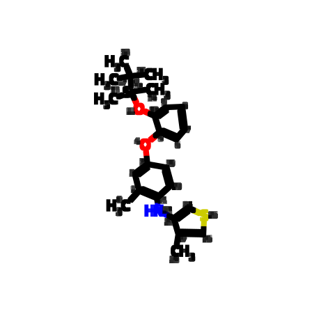 Cc1cc(Oc2ccccc2O[Si](C)(C)C(C)(C)C)ccc1Nc1cscc1C